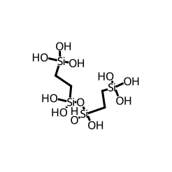 O[Si](O)(O)CC[Si](O)(O)O[Si](O)(O)CC[Si](O)(O)O